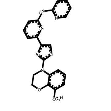 Cc1ccnc(Nc2cccc(-c3cnc(N4CCOc5c(C(=O)O)cccc54)s3)n2)c1